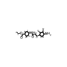 CCOC(=O)c1ccc(NC(=O)C=Cc2ccc(N)c(C)c2C)cc1